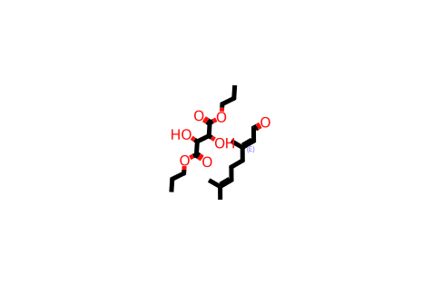 CC(C)=CCC/C(C)=C/C=O.CCCOC(=O)C(O)C(O)C(=O)OCCC